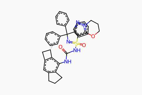 C[C@H]1Cc2cc3c(c(NC(=O)NS(=O)(=NC(c4ccccc4)(c4ccccc4)c4ccccc4)c4cnn5c4OCCC5)c21)CCC3